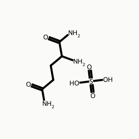 NC(=O)CCC(N)C(N)=O.O=S(=O)(O)O